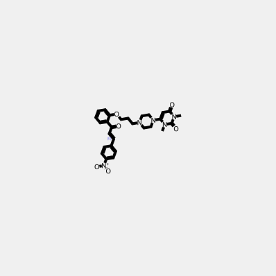 Cn1c(N2CCN(CCCOc3ccccc3C(=O)/C=C/c3ccc([N+](=O)[O-])cc3)CC2)cc(=O)n(C)c1=O